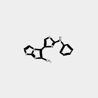 Cc1nc2sccn2c1-c1csc(Nc2ccccc2)n1